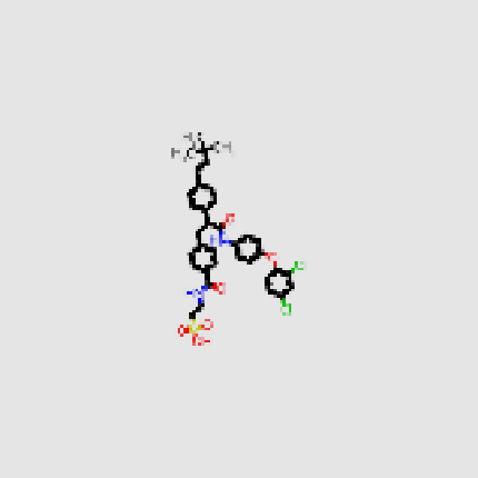 CC(C)(C)/C=C/c1ccc(C(Cc2ccc(C(=O)NCCS(=O)(=O)O)cc2)C(=O)Nc2ccc(Oc3ccc(Cl)cc3Cl)cc2)cc1